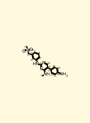 CNc1nc(Nc2cccc(CS(C)(=O)=O)c2)ncc1-c1ccc(N)cc1